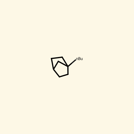 CCCCC12CCC(CC1)C2